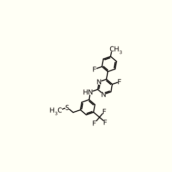 CSCc1cc(Nc2ncc(F)c(-c3ccc(C)cc3F)n2)cc(C(F)(F)F)c1